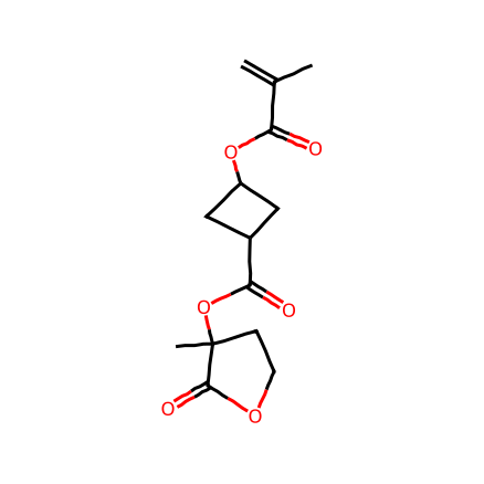 C=C(C)C(=O)OC1CC(C(=O)OC2(C)CCOC2=O)C1